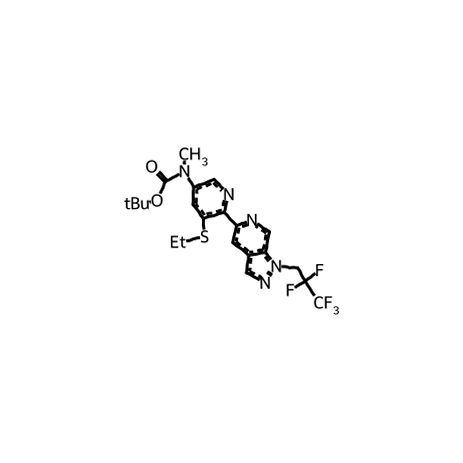 CCSc1cc(N(C)C(=O)OC(C)(C)C)cnc1-c1cc2cnn(CC(F)(F)C(F)(F)F)c2cn1